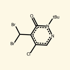 CC(C)(C)n1ncc(Cl)c(C(Br)Br)c1=O